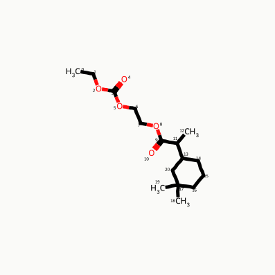 CCOC(=O)OCCOC(=O)C(C)C1CCCC(C)(C)C1